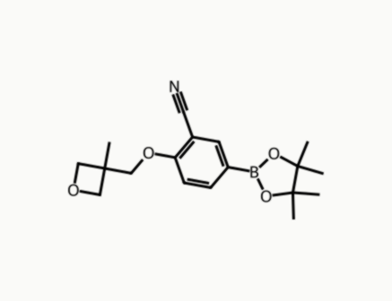 CC1(COc2ccc(B3OC(C)(C)C(C)(C)O3)cc2C#N)COC1